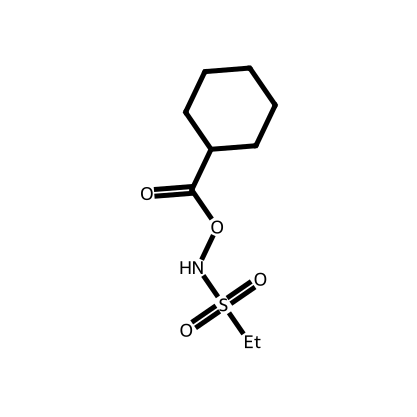 CCS(=O)(=O)NOC(=O)C1CCCCC1